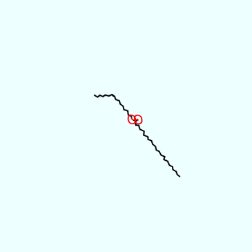 CCCCCC/C=C\CCCCCCCCOC(=O)CCCCCCCCCCCCCCCCCCCCCC